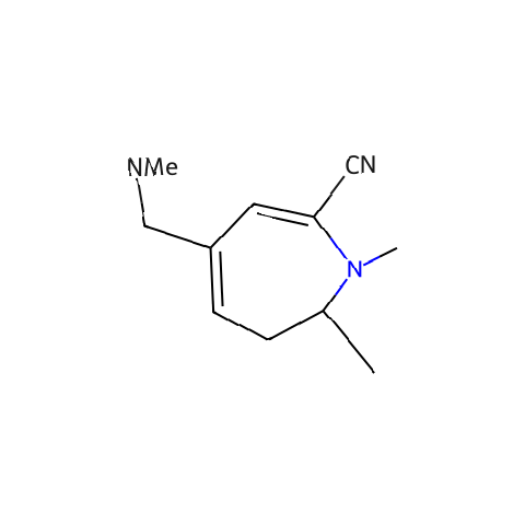 CNCC1=CCC(C)N(C)C(C#N)=C1